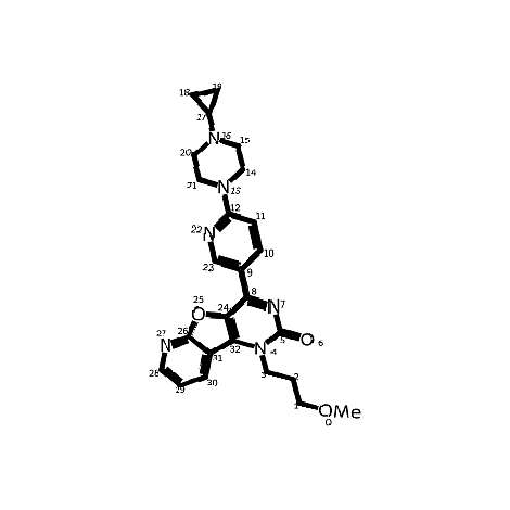 COCCCn1c(=O)nc(-c2ccc(N3CCN(C4CC4)CC3)nc2)c2oc3ncccc3c21